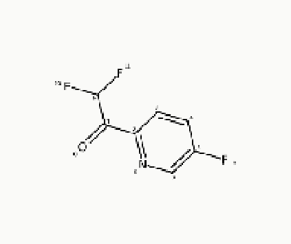 O=C(c1ccc(F)cn1)C(F)F